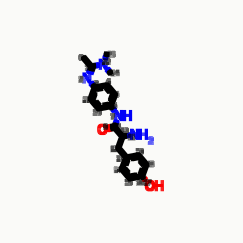 CC(=Nc1ccc(NC(=O)C(N)Cc2ccc(O)cc2)cc1)N(C)C